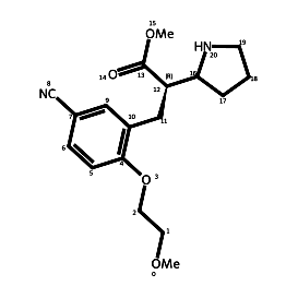 COCCOc1ccc(C#N)cc1C[C@@H](C(=O)OC)C1CCCN1